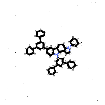 c1ccc(-c2cc(-c3ccccc3)cc(-c3ccc4c(c3)c3ccc5c(ccn5-c5ccccc5)c3n4-c3cc(-c4ccccc4)cc(-c4ccccc4)c3)c2)cc1